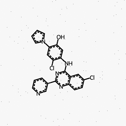 Oc1cc(Nc2nc(-c3cccnc3)nc3ccc(Cl)cc23)c(Cl)cc1-n1cccc1